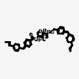 CCCC1CCC(Cc2ccc(COO[C@H]3CO[C@@H]4C(OC(=O)c5ccc(CC6CCC(CCC)CC6)cc5)CO[C@H]34)cc2)CC1